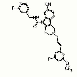 N#Cc1ccc2c3c(n(C(=O)NCc4ccnc(F)c4)c2c1)CCN(CC=Cc1cc(F)cc(OC(F)(F)F)c1)C3